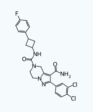 NC(=O)c1c(-c2ccc(Cl)c(Cl)c2)nn2c1CN(C(=O)NC1CC(c3ccc(F)cc3)C1)CC2